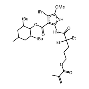 C=C(C)C(=O)OCCCC(CC)(CC)C(=O)Nc1[nH]c(OC)c(C(C)C)c1C(=O)OC1C(C(C)(C)C)CC(C)CC1C(C)(C)C